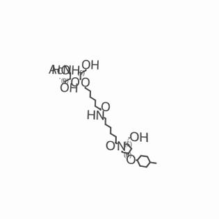 CC(=O)N[C@@H](CO)C(OCCCCCC(=O)NCCCCCC(=O)N1C[C@H](OC2CCC(C)CC2)C[C@H]1CO)OC(CO)[C@@H](C)O